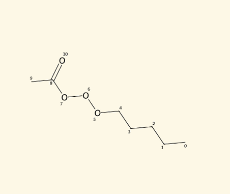 CCCCCOOOC(C)=O